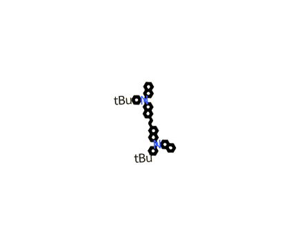 CC(C)(C)c1ccc(N(c2ccc3ccccc3c2)c2ccc3cc(/C=C/c4ccc5cc(N(c6ccc(C(C)(C)C)cc6)c6ccc7ccccc7c6)ccc5c4)ccc3c2)cc1